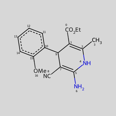 CCOC(=O)C1=C(C)NC(N)=C(C#N)C1c1ccccc1OC